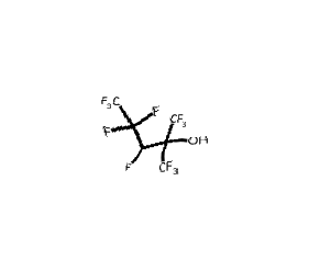 OC(C(F)C(F)(F)C(F)(F)F)(C(F)(F)F)C(F)(F)F